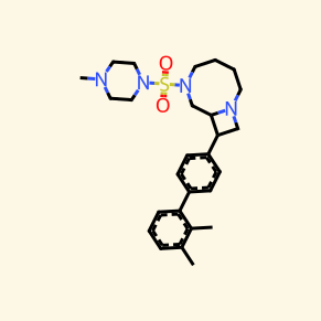 Cc1cccc(-c2ccc(C3CN4CCCCN(S(=O)(=O)N5CCN(C)CC5)CC34)cc2)c1C